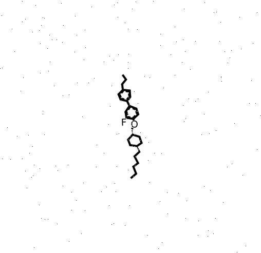 CCCCCC[C@H]1CC[C@H](COc2ccc(-c3ccc(CCC)cc3)cc2F)CC1